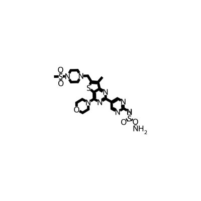 Cc1c(CN2CCN(S(C)(=O)=O)CC2)sc2c(N3CCOCC3)nc(-c3cnc(N=[SH](=O)ON)nc3)nc12